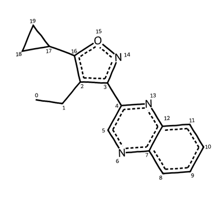 CCc1c(-c2cnc3ccccc3n2)noc1C1CC1